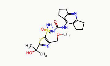 COCc1nc(C(C)(C)O)sc1[S@](N)(=O)=NC(=O)Nc1c2c(nc3c1CCC3)CCC2